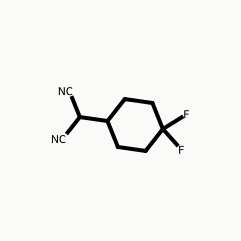 N#CC(C#N)C1CCC(F)(F)CC1